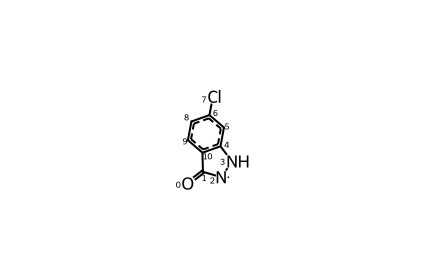 O=C1[N]Nc2cc(Cl)ccc21